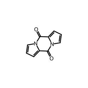 O=c1c2cccn2c(=O)c2cccn12